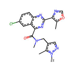 CCn1ncc(CN(C)C(=O)c2nc(-c3ncoc3C)nc3ccc(Cl)cc23)c1C